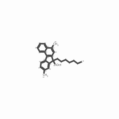 CCCCCCCCC1(CCCCCCI)c2cc(C)ccc2-c2c1cc(C)c1ccccc21